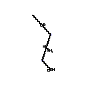 CCCCCCCCCCOC(=O)CCCCCCC/C=C\CCCCCCCCNC(CN)CCCCCCCC/C=C\CCCCCCCC(=O)O